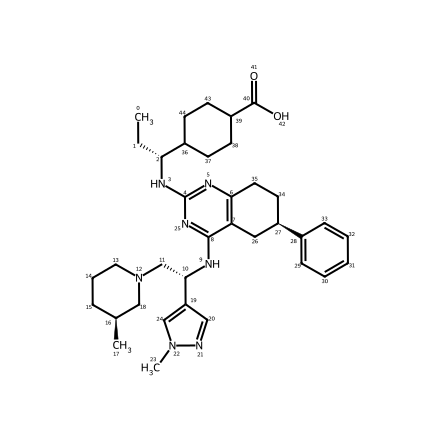 CC[C@@H](Nc1nc2c(c(N[C@@H](CN3CCC[C@H](C)C3)c3cnn(C)c3)n1)C[C@H](c1ccccc1)CC2)C1CCC(C(=O)O)CC1